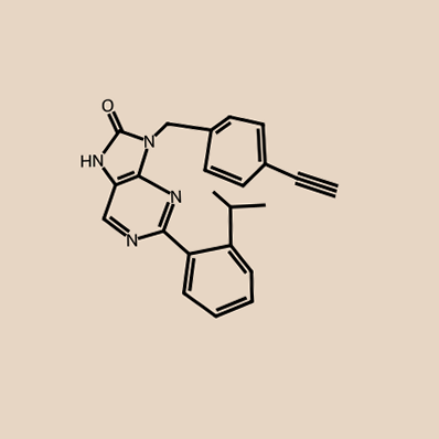 C#Cc1ccc(Cn2c(=O)[nH]c3cnc(-c4ccccc4C(C)C)nc32)cc1